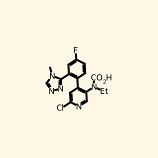 CCN(C(=O)O)c1cnc(Cl)cc1-c1ccc(F)cc1-c1nncn1C